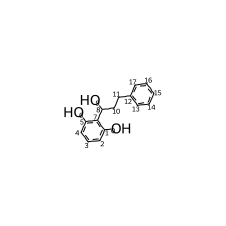 Oc1cccc(O)c1C(O)CCc1ccccc1